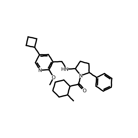 COc1ncc(C2CCC2)cc1CNC1CCC(c2ccccc2)N1C(=O)C1CCCCC1C